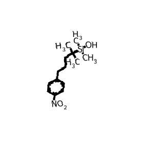 CC(C)(CCCc1ccc([N+](=O)[O-])cc1)[Si](C)(C)O